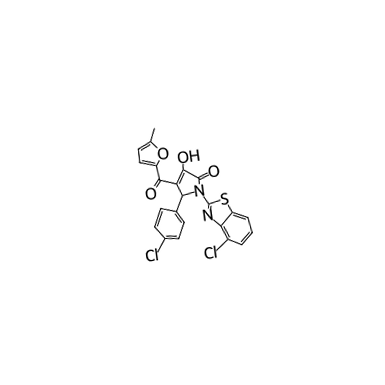 Cc1ccc(C(=O)C2=C(O)C(=O)N(c3nc4c(Cl)cccc4s3)C2c2ccc(Cl)cc2)o1